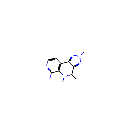 CCN1c2c(ccnc2N)-c2nn(C)nc2C1C